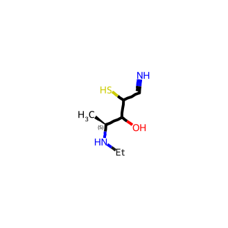 CCN[C@@H](C)C(O)C(S)C=N